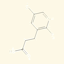 O=C(O)CCc1cc(Cl)cnc1F